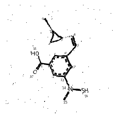 C[C@@H]1C[C@H]1/C=C\c1cc(C(=O)O)cc(N(C)S)c1